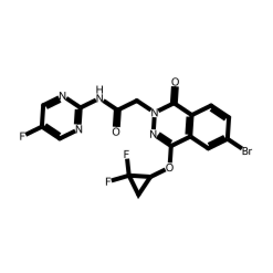 O=C(Cn1nc(OC2CC2(F)F)c2cc(Br)ccc2c1=O)Nc1ncc(F)cn1